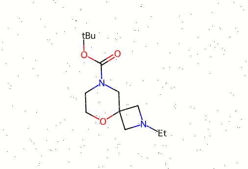 CCN1CC2(C1)CN(C(=O)OC(C)(C)C)CCO2